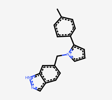 Cc1ccc(-c2c[c]cn2Cc2ccc3cn[nH]c3c2)cc1